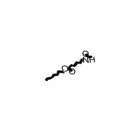 CCCCCCCOC(=O)CCCCCNC(C)=O